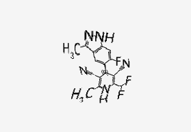 CC1=C(C#N)[C@@H](c2cc3c(C)n[nH]c3cc2F)C(C#N)=C(C(F)F)N1